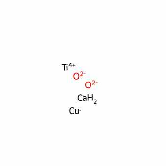 [CaH2].[Cu].[O-2].[O-2].[Ti+4]